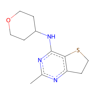 Cc1nc2c(c(NC3CCOCC3)n1)SCC2